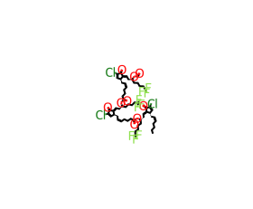 CCCC/C=C\C[C@H]1C=C(Cl)C(=O)/C1=C/C[C@H](CCCCC(F)(F)F)OC(=O)CCC/C=C\C[C@H]1C=C(Cl)C(=O)/C1=C/C[C@H](CCCCC(F)(F)F)OC(=O)CCC/C=C\C[C@H]1C=C(Cl)C(=O)/C1=C/C[C@H](CCCCC(F)(F)F)OC=O